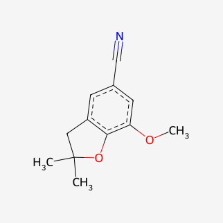 COc1cc(C#N)cc2c1OC(C)(C)C2